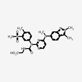 Cc1ccc(N(C(=O)NCC(=O)O)c2nccc(N(C)c3ccc4c(C)n(C)nc4c3)n2)cc1S(N)(=O)=O